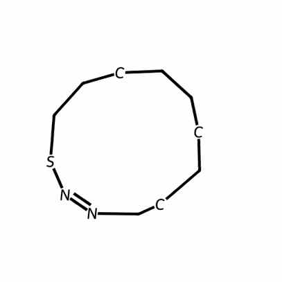 C1CCCCN=NSCCCC1